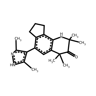 Cc1n[nH]c(C)c1-c1cc2c(c3c1CCC3)NC(C)(C)C(=O)C2(C)C